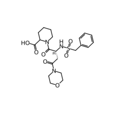 O=C(O)C1CCCCN1C(=O)[C@@H](CC(=O)N1CCOCC1)NS(=O)(=O)Cc1ccccc1